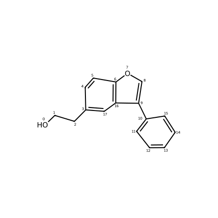 OCCc1ccc2occ(-c3ccccc3)c2c1